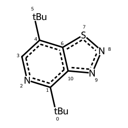 CC(C)(C)c1ncc(C(C)(C)C)c2snnc12